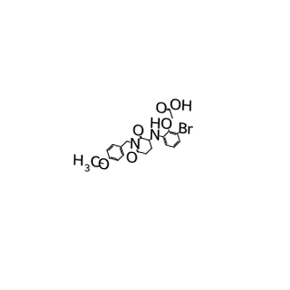 COc1ccc(CN2C(=O)CCC(Nc3cccc(Br)c3OCC(=O)O)C2=O)cc1